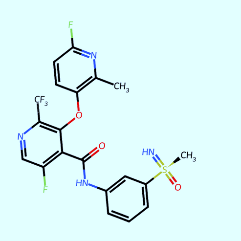 Cc1nc(F)ccc1Oc1c(C(F)(F)F)ncc(F)c1C(=O)Nc1cccc([S@](C)(=N)=O)c1